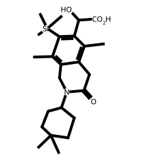 Cc1c2c(c(C)c([Si](C)(C)C)c1C(O)C(=O)O)CN(C1CCC(C)(C)CC1)C(=O)C2